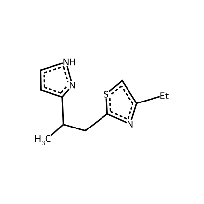 CCc1csc(CC(C)c2cc[nH]n2)n1